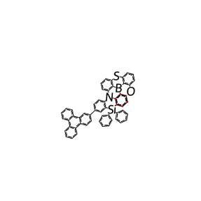 c1ccc([Si]2(c3ccccc3)c3ccccc3N(c3cccc4c3B3c5ccccc5Oc5cccc(c53)S4)c3ccc(-c4ccc5c6ccccc6c6ccccc6c5c4)cc32)cc1